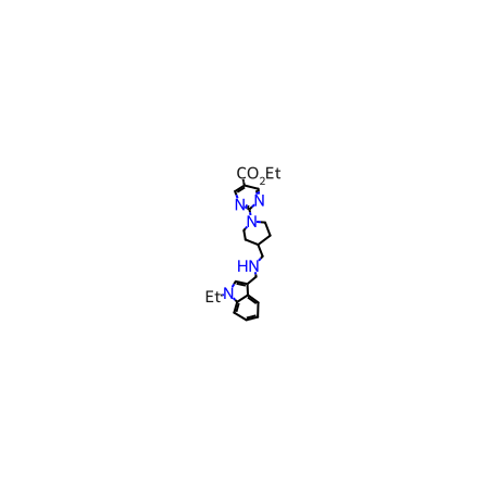 CCOC(=O)c1cnc(N2CCC(CNCc3cn(CC)c4ccccc34)CC2)nc1